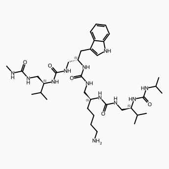 CNC(=O)NC[C@@H](NC(=O)NC[C@H](Cc1c[nH]c2ccccc12)NC(=O)NC[C@H](CCCCN)NC(=O)NC[C@@H](NC(=O)NC(C)C)C(C)C)C(C)C